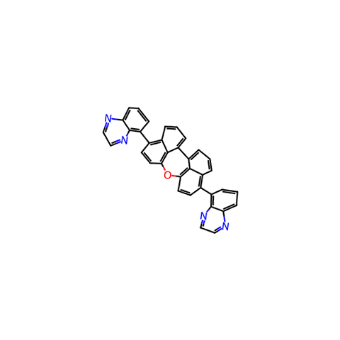 c1cc(-c2ccc3oc4ccc(-c5cccc6nccnc56)c5cccc(c6cccc2c36)c45)c2nccnc2c1